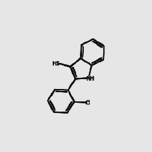 Sc1c(-c2ccccc2Cl)[nH]c2ccccc12